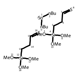 CCC[CH2][Sn][CH2]CCC.CO[Si](CCC=S)(OC)OC.CO[Si](CCC=S)(OC)OC